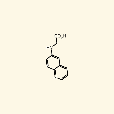 O=C(O)CNc1ccc2ncccc2c1